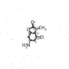 Cn1c(=O)oc2cc(N)cc(Cl)c21